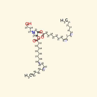 CCCCC/C=C\C/C=C\CCCCCCCC(=O)O[C@@H]1CN(CCCO)C[C@H]1OC(=O)CCCCCCC/C=C\C/C=C\CCCCC